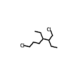 CCC(CCl)C(CC)CCCCl